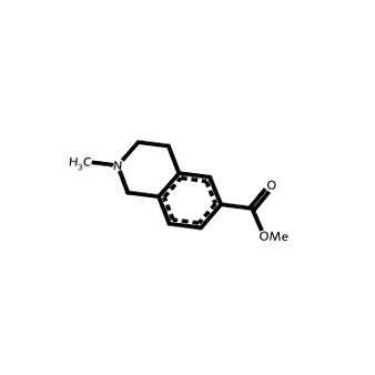 COC(=O)c1ccc2c(c1)CCN(C)C2